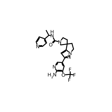 CC(NC(=O)N1CCC2(CCn3nc(-c4cnc(N)c(OC(F)(F)F)c4)cc32)C1)c1ccncc1